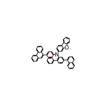 c1ccc(-c2ccc(-c3cccc4ccccc34)cc2N(c2ccc(-c3cc4ccccc4c4ccccc34)cc2)c2ccc3c(c2)oc2ccccc23)cc1